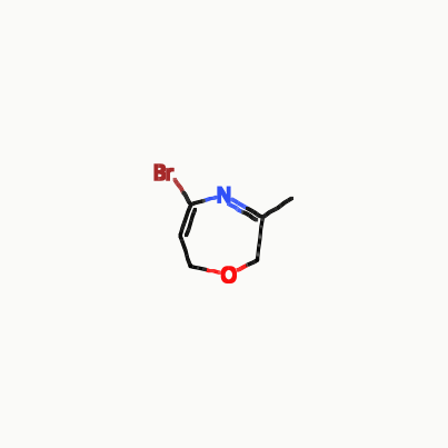 CC1=NC(Br)=CCOC1